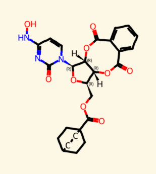 O=C1O[C@@H]2[C@H](OC(=O)c3ccccc31)[C@@H](COC(=O)C13CCC(CC1)CC3)O[C@H]2n1ccc(NO)nc1=O